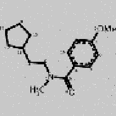 COc1ccc(C(=O)N(C)CCC2CCCC2)cc1